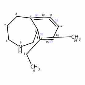 CCC1=C2/CNCCC/C2=C/C=C/C(C)=C\1